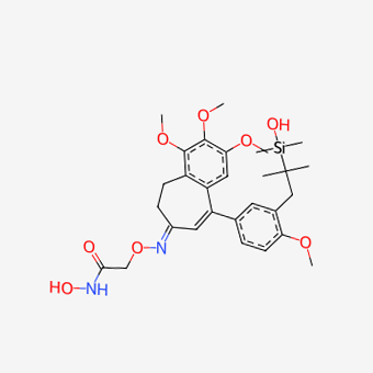 COc1ccc(C2=C/C(=N/OCC(=O)NO)CCc3c2cc(OC)c(OC)c3OC)cc1CC(C)(C)[Si](C)(C)O